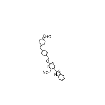 N#CCc1nc(OCc2ccc(CN3CCN(C=O)CC3)cc2)ncc1-c1nc2ccccc2s1